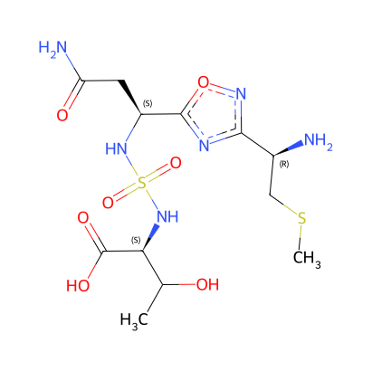 CSC[C@H](N)c1noc([C@H](CC(N)=O)NS(=O)(=O)N[C@H](C(=O)O)C(C)O)n1